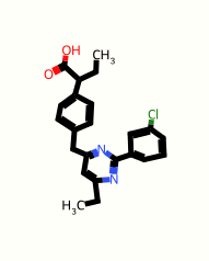 CCc1cc(Cc2ccc(C(CC)C(=O)O)cc2)nc(-c2cccc(Cl)c2)n1